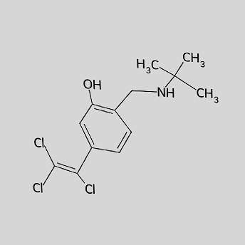 CC(C)(C)NCc1ccc(C(Cl)=C(Cl)Cl)cc1O